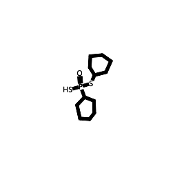 O=P(S)(SC1CCCCC1)C1CCCCC1